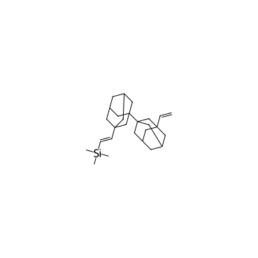 C=CC12CC3CC(C1)CC(C14CC5CC(CC(C=C[Si](C)(C)C)(C5)C1)C4)(C3)C2